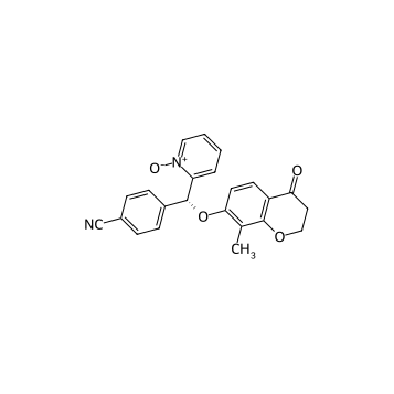 Cc1c(O[C@H](c2ccc(C#N)cc2)c2cccc[n+]2[O-])ccc2c1OCCC2=O